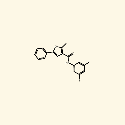 Cc1oc(-c2ccccc2)cc1C(=O)Nc1cc(F)cc(F)c1